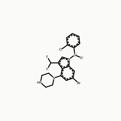 [O-][S+](c1ccccc1Cl)n1cc(C(F)F)c2c(N3CCNCC3)cc(Br)cc21